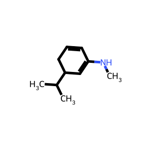 CNC1=CC(C(C)C)CC=C1